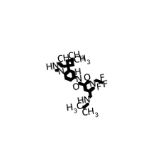 Cc1[nH]cnc1C1(c2cccc(NC(=O)c3cc(CNCC(C)C)cn(CC(F)(F)F)c3=O)c2)CC(C)(C)C1